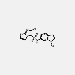 CC(=O)N1CCc2ccc(NS(=O)(=O)C3C(Cl)N=C4SC=CN43)cc21